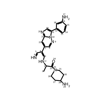 CC(N/C=C(\C=N)c1cnn2c(-c3cccc(N)c3)cnc2c1)C(=O)N1CCC(N)CC1